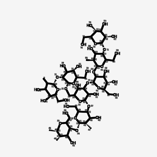 CC1C(O)[C@H](O)[C@H](CO)O[C@H]1O[C@@H]1C(O)[C@H](O)C(CO)O[C@@H]1OCC1O[C@@H](O[C@@H]2C(CO)O[C@@H](O[C@@H]3C(CO)O[C@@H](C)[C@@H](C)C3O)[C@@H](C)C2O)C(O)C(O[C@H]2O[C@H](CO)[C@@H](O)C(O)C2O[C@@H]2OC(CO)[C@@H](O[C@@H]3OC(CO)[C@H](O)C(O)[C@@H]3O)C(O)[C@@H]2C)[C@@H]1O